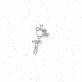 O=C(Nc1ccc(N2CCOCC2)cc1)c1cc2cc(c1)Nc1nc(ncc1Cl)Nc1cccc(c1)CC2